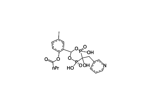 CCCC(=O)Oc1ccc(C)cc1C1OP(=O)(O)C(O)(Cc2cccnc2)P(=O)(O)O1